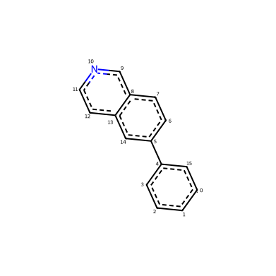 [c]1cccc(-c2ccc3cnccc3c2)c1